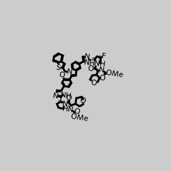 COC(=O)N[C@H](C(=O)N1CCC[C@H]1c1ncc(-c2ccc3c(c2)OC(c2cc4ccccc4s2)n2c-3cc3cc(-c4cnc([C@@H]5C[C@@H](F)CN5C(=O)[C@@H](NC(=O)OC)C5CCOCC5)[nH]4)ccc32)[nH]1)C1CCOCC1